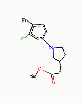 CC(C)c1ccc(N2CCC(CC(=O)OC(C)(C)C)C2)cc1Cl